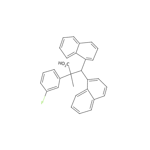 CC(C(=O)O)(c1cccc(F)c1)C(c1cccc2ccccc12)c1cccc2ccccc12